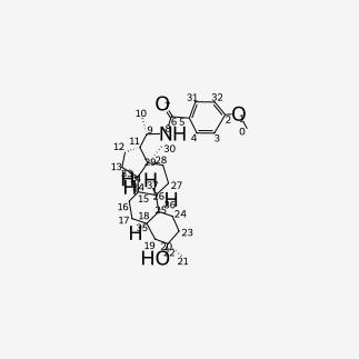 COc1ccc(C(=O)N[C@@H](C)[C@H]2CC[C@H]3[C@@H]4CC[C@@H]5C[C@](C)(O)CC[C@@H]5[C@H]4CC[C@]23C)cc1